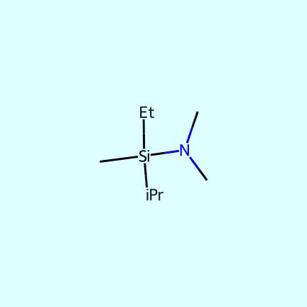 CC[Si](C)(C(C)C)N(C)C